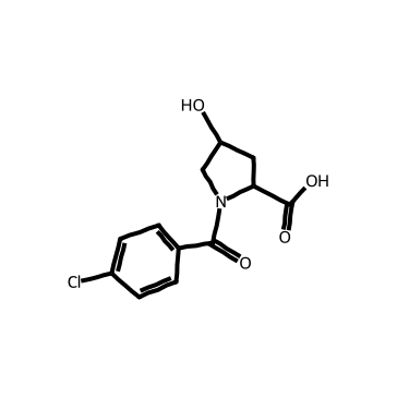 O=C(O)C1CC(O)CN1C(=O)c1ccc(Cl)cc1